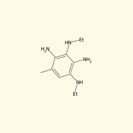 CCNc1cc(C)c(N)c(NCC)c1N